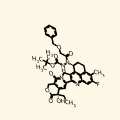 CC[C@@]1(O)C(=O)OCc2c1cc1n(c2=O)Cc2c-1nc1cc(F)c(C)c3c1c2[C@@H](N(NC(=O)OC(C)(C)C)C(=O)COCc1ccccc1)CC3